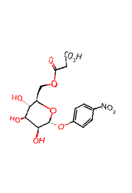 O=C(O)CC(=O)OC[C@H]1O[C@H](Oc2ccc([N+](=O)[O-])cc2)[C@@H](O)[C@@H](O)[C@@H]1O